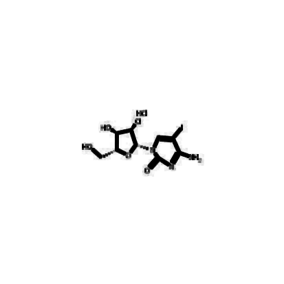 Cl.Nc1nc(=O)n([C@@H]2O[C@H](CO)[C@@H](O)[C@H]2Cl)cc1I